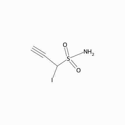 C#CC(I)S(N)(=O)=O